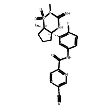 CN1C(=N)N[C@@]2(c3cc(NC(=O)c4ccc(C#N)cn4)ccc3F)CCC[C@H]2S1(=O)=O